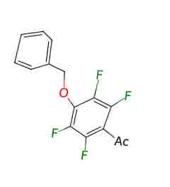 CC(=O)c1c(F)c(F)c(OCc2ccccc2)c(F)c1F